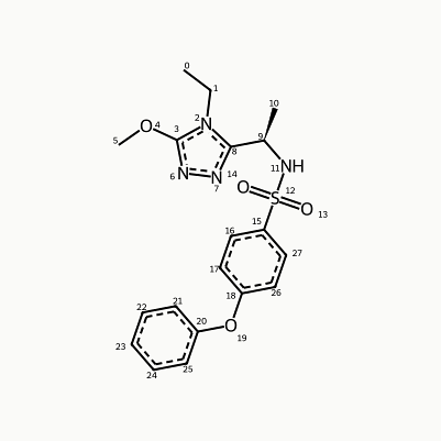 CCn1c(OC)nnc1[C@@H](C)NS(=O)(=O)c1ccc(Oc2ccccc2)cc1